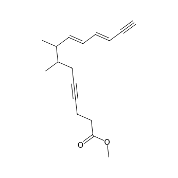 C#C/C=C/C=C/C(C)C(C)CC#CCCC(=O)OC